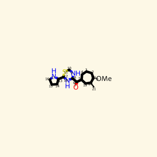 CO[C@H]1CCCC(C(=O)C2NCSC(C3CCCN3)N2)C[C@@H]1C